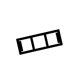 C1=CC2C1C1C=CC21